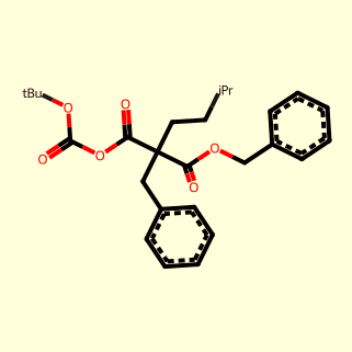 CC(C)CCC(Cc1ccccc1)(C(=O)OCc1ccccc1)C(=O)OC(=O)OC(C)(C)C